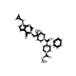 CC(C)(C)OC(=O)N1CC[C@@H](C(=O)N2CCC(O)(Cn3cnc4c(ccn4CC4CC4)c3=O)CC2)[C@H](c2ccccc2)C1